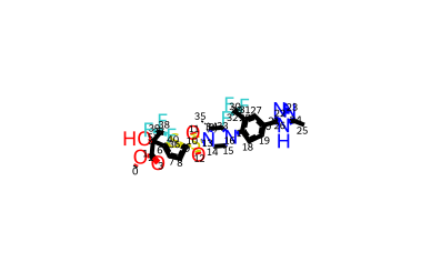 COC(=O)C(O)(c1ccc(S(=O)(=O)N2CCN(c3ccc(-c4nnc(C)[nH]4)cc3C(F)(F)F)C[C@H]2C)s1)C(F)(F)F